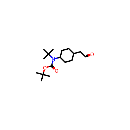 CC(C)(C)OC(=O)N(C1CCC(CC=O)CC1)C(C)(C)C